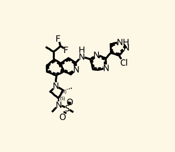 CC(c1ccc(N2C[C@H](N(C)S(C)(=O)=O)[C@H]2C)c2cnc(Nc3ccnc(-c4c[nH]nc4Cl)n3)cc12)C(F)F